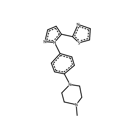 CN1CCN(c2ccc(-n3nccc3-c3nccs3)cc2)CC1